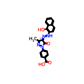 CC1=NN(c2ccc(C(=O)O)cc2)C(=O)/C1=N\Nc1ccc2ccccc2c1O